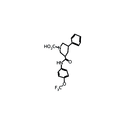 O=C(Nc1ccc(OC(F)(F)F)cc1)C1CC(c2ccccc2)CN(C(=O)O)C1